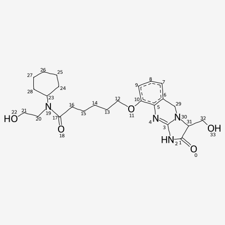 O=C1NC2=Nc3c(cccc3OCCCCCC(=O)N(CCO)C3CCCCC3)CN2C1CO